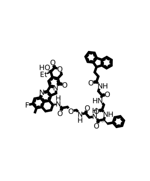 CC[C@@]1(O)C(=O)OCc2c1cc1n(c2=O)Cc2c-1nc1cc(F)c(C)c3c1c2[C@@H](NC(=O)COCNC(=O)CNC(=O)[C@H](Cc1ccccc1)NC(=O)CNC(=O)CNC(=O)CCC1c2ccccc2-c2ccccc21)CC3